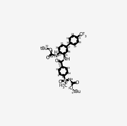 CC(C)(C)OC(=O)N=S(C)(=O)c1ccc(C(=O)Nc2cc(-c3ccc(C(F)(F)F)cc3)ccc2NC(=O)OC(C)(C)C)cc1